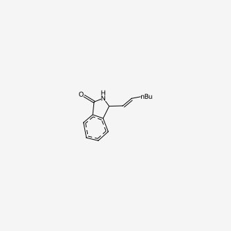 CCCCC=CC1NC(=O)c2ccccc21